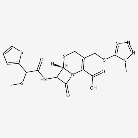 CSC(C(=O)NC1C(=O)N2C(C(=O)O)=C(CSc3nnnn3C)CS[C@@H]12)c1cccs1